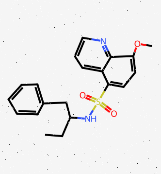 CCC(Cc1ccccc1)NS(=O)(=O)c1ccc(OC)c2ncccc12